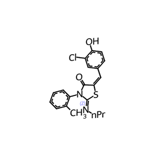 CCC/N=C1\SC(=Cc2ccc(O)c(Cl)c2)C(=O)N1c1ccccc1C